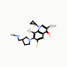 CCNCC1CCN(c2c(F)cc3c(=O)c(C(=O)O)cn(C4CC4)c3c2C(F)(F)F)C1